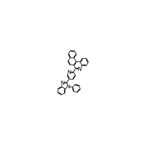 c1ccc(-n2c(-c3ccc(-c4nc5ccccc5c5c4ccc4ccccc45)nc3)nc3ccccc32)cc1